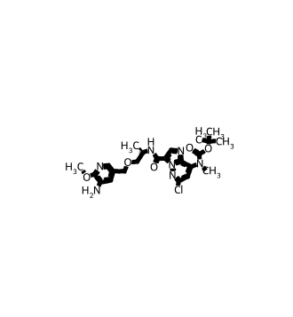 COc1ncc(COC[C@@H](C)NC(=O)c2cnc3c(N(C)C(=O)OC(C)(C)C)cc(Cl)nn23)cc1N